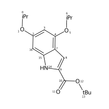 CC(C)Oc1cc(OC(C)C)c2cc(C(=O)OC(C)(C)C)[nH]c2c1